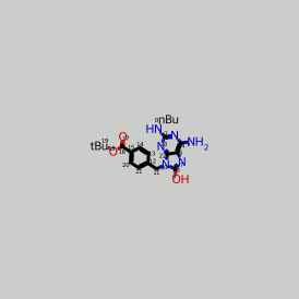 CCCCNc1nc(N)c2nc(O)n(Cc3ccc(C(=O)OC(C)(C)C)cc3)c2n1